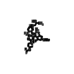 COc1cc(F)c(-c2c(NC(=O)c3ccc(OC(F)F)cc3)c(=O)n(-c3nc(NCC(C)O)ccc3C(F)(F)F)n2C)c(F)c1